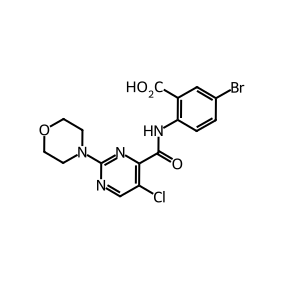 O=C(O)c1cc(Br)ccc1NC(=O)c1nc(N2CCOCC2)ncc1Cl